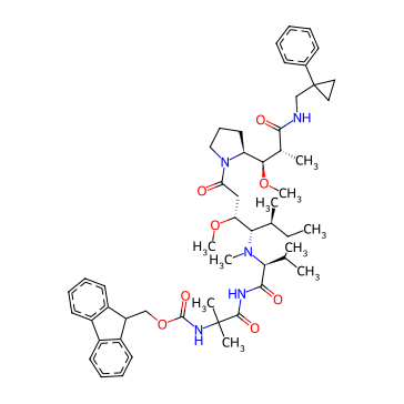 CC[C@H](C)[C@@H]([C@@H](CC(=O)N1CCC[C@H]1[C@H](OC)[C@@H](C)C(=O)NCC1(c2ccccc2)CC1)OC)N(C)[C@H](C(=O)NC(=O)C(C)(C)NC(=O)OCC1c2ccccc2-c2ccccc21)C(C)C